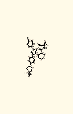 CN=[SH]1(O)CCN(c2ccc(-c3cn(-c4ccc(F)cc4)nc3[C@@H]3CCCC[C@H]3C(=O)NC3(C#N)CC3)cc2)CC1